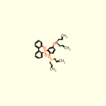 C=CCB(CC=C)Oc1ccc(OP(CC=C)CC=C)c(P2(=O)Oc3ccccc3-c3ccccc32)c1